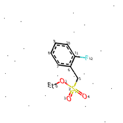 CCOS(=O)(=O)Cc1ccccc1F